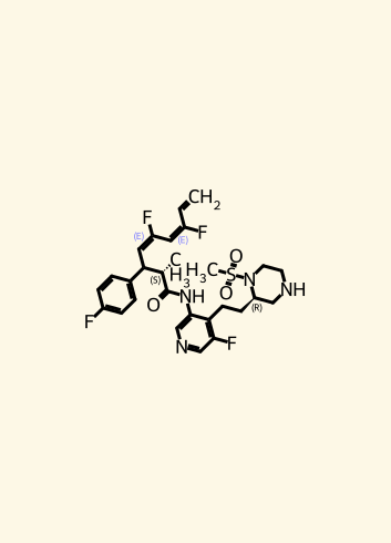 C=C/C(F)=C\C(F)=C/C(c1ccc(F)cc1)[C@H](C)C(=O)Nc1cncc(F)c1CC[C@@H]1CNCCN1S(C)(=O)=O